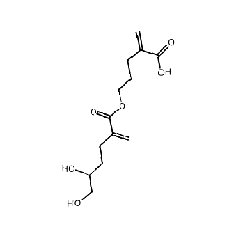 C=C(CCCOC(=O)C(=C)CCC(O)CO)C(=O)O